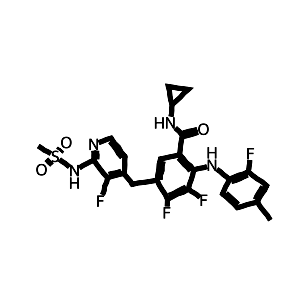 Cc1ccc(Nc2c(C(=O)NC3CC3)cc(Cc3ccnc(NS(C)(=O)=O)c3F)c(F)c2F)c(F)c1